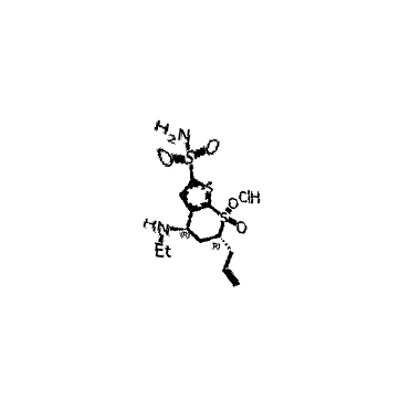 C=CC[C@@H]1C[C@@H](NCC)c2cc(S(N)(=O)=O)sc2S1(=O)=O.Cl